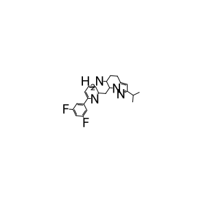 CC(C)c1cc2n(n1)C(Cc1cccc(-c3cc(F)cc(F)c3)n1)C(N)CC2